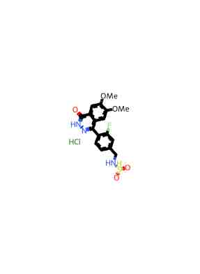 COc1cc2c(-c3ccc(CN[SH](=O)=O)cc3F)n[nH]c(=O)c2cc1OC.Cl